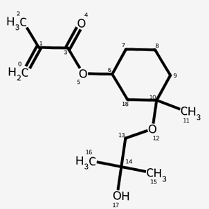 C=C(C)C(=O)OC1CCCC(C)(OCC(C)(C)O)C1